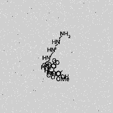 COc1cc(C2c3cc4c(cc3[C@@H](NS(=O)(=O)CCNCCCNCCCNCCCN)[C@H]3COC(=O)[C@H]23)OCO4)cc(C)c1O